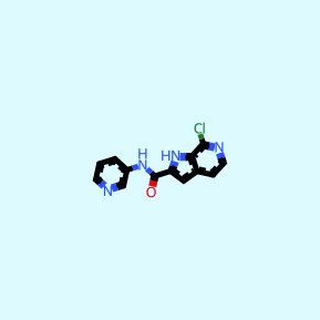 O=C(Nc1cccnc1)c1cc2ccnc(Cl)c2[nH]1